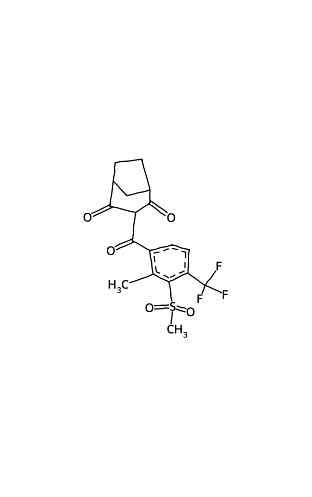 Cc1c(C(=O)C2C(=O)C3CCC(C3)C2=O)ccc(C(F)(F)F)c1S(C)(=O)=O